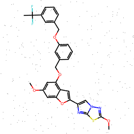 COc1cc(OCc2cccc(OCc3cccc(C(C)(F)F)c3)c2)c2cc(-c3cn4nc(OC)sc4n3)oc2c1